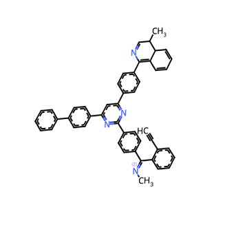 C#Cc1ccccc1/C(=N\C)c1ccc(-c2nc(-c3ccc(C4=C5C=CC=CC5C(C)C=N4)cc3)cc(-c3ccc(-c4ccccc4)cc3)n2)cc1